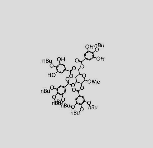 CCCCOc1cc(C(=O)OC2[C@H](OC)OC(COC(=O)c3cc(O)c(OCCCC)c(O)c3)[C@@H](OC(=O)c3cc(O)c(OCCCC)c(O)c3)[C@@H]2OC(=O)c2cc(OCCCC)c(OCCCC)c(OCCCC)c2)cc(OCCCC)c1OCCCC